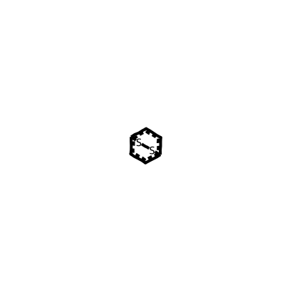 c1cc2ccc1SS2